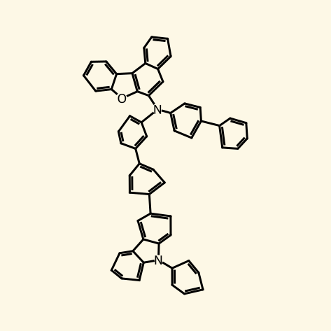 c1ccc(-c2ccc(N(c3cccc(-c4ccc(-c5ccc6c(c5)c5ccccc5n6-c5ccccc5)cc4)c3)c3cc4ccccc4c4c3oc3ccccc34)cc2)cc1